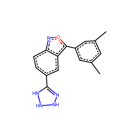 Cc1cc(C)cc(-c2onc3ccc(C4=NNNN4)cc23)c1